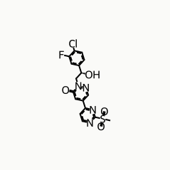 CS(=O)(=O)c1nccc(-c2cnn(C[C@H](O)c3ccc(Cl)c(F)c3)c(=O)c2)n1